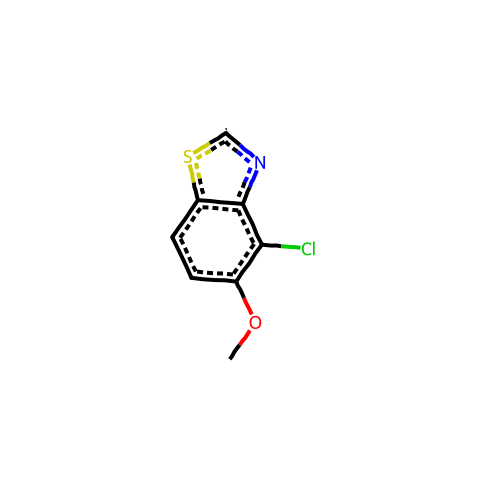 COc1ccc2s[c]nc2c1Cl